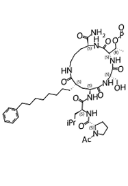 CC(=O)N1CCC[C@H]1C(=O)N[C@@H](CC(C)C)C(=O)N[C@H]1C[C@H](CCCCCCCCc2ccccc2)C(=O)NCCC[C@@H](C(N)=O)NC(=O)[C@H]([C@@H](C)OP=O)NC(=O)[C@H](CO)NC1=O